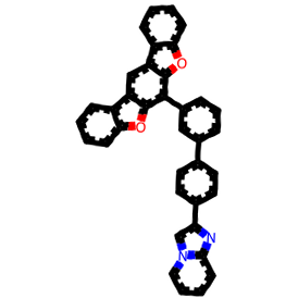 c1cc(-c2ccc(-c3cn4ccccc4n3)cc2)cc(-c2c3oc4ccccc4c3cc3c2oc2ccccc23)c1